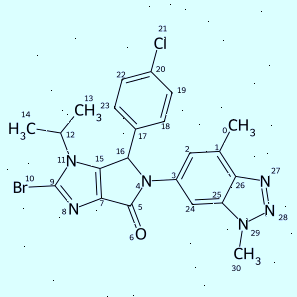 Cc1cc(N2C(=O)c3nc(Br)n(C(C)C)c3C2c2ccc(Cl)cc2)cc2c1nnn2C